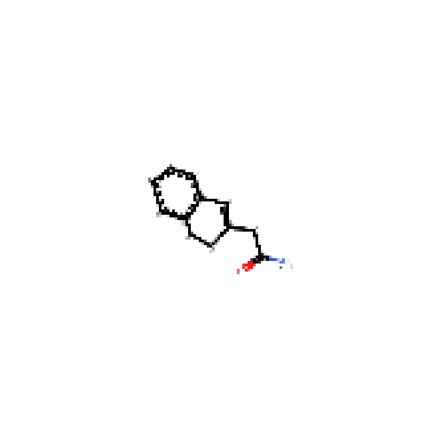 NC(=O)CC1=Cc2ccccc2CC1